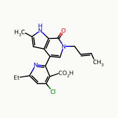 CC=CCn1cc(-c2nc(CC)cc(Cl)c2C(=O)O)c2cc(C)[nH]c2c1=O